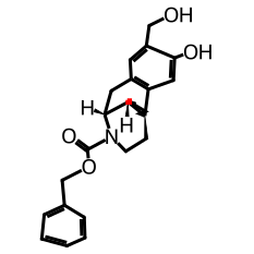 O=C(OCc1ccccc1)N1CC[C@]23CCCC[C@H]2[C@H]1Cc1cc(CO)c(O)cc13